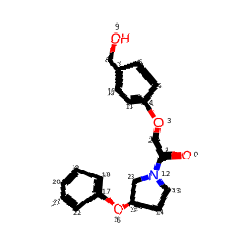 O=C(COc1ccc(CO)cc1)N1CC[C@@H](Oc2ccccc2)C1